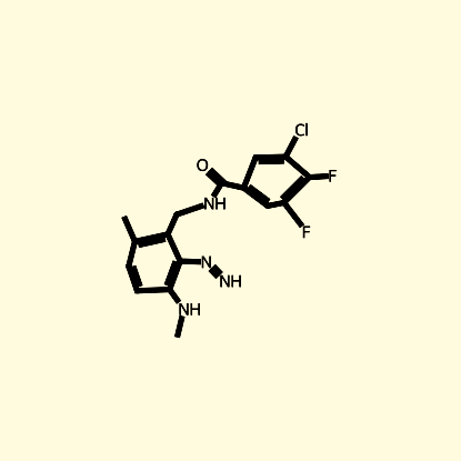 CNc1ccc(C)c(CNC(=O)c2cc(F)c(F)c(Cl)c2)c1N=N